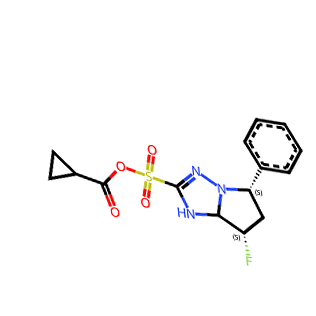 O=C(OS(=O)(=O)C1=NN2C(N1)[C@@H](F)C[C@H]2c1ccccc1)C1CC1